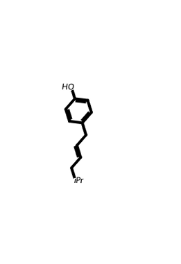 CC(C)C/C=C/Cc1ccc(O)cc1